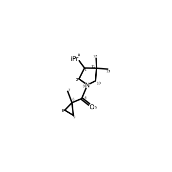 CC(C)C1CN(C(=O)C2(C)CC2)CC1(C)C